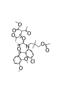 COC(=O)C(SC(=O)C[C@H]1O[C@H](c2cccc(OC)c2OC)c2cc(Cl)ccc2N(CC(C)(C)COC(C)=O)C1=O)C(C)=O